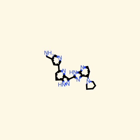 NCc1cncc(-c2ccc3[nH]nc(-c4nc5c(N6CCCCC6)ccnc5[nH]4)c3n2)c1